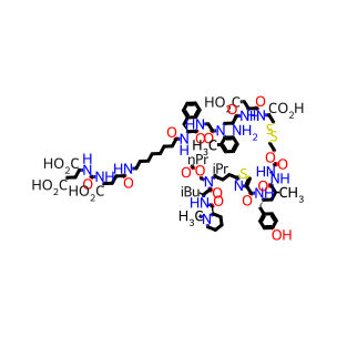 CCCC(=O)OCN(C(=O)[C@@H](NC(=O)[C@H]1CCCCN1C)C(C)CC)C(CCc1nc(C(=O)N[C@@H](Cc2ccc(O)cc2)C[C@H](C)C(=O)NNC(=O)OCCSSC[C@H](NC(=O)C(CC(=O)O)NC(=O)[C@@H](N)CN(C(=O)CNC(=O)[C@H](Cc2ccccc2)NC(=O)CCCCCCCNC(=O)CC[C@H](NC(=O)N[C@@H](CCC(=O)O)C(=O)O)C(=O)O)c2ccccc2C)C(=O)O)cs1)C(C)C